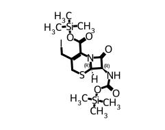 C[Si](C)(C)OC(=O)N[C@@H]1C(=O)N2C(C(=O)O[Si](C)(C)C)=C(CI)CS[C@H]12